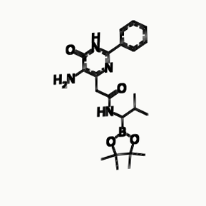 CC(C)C(NC(=O)Cc1nc(-c2ccccc2)[nH]c(=O)c1N)B1OC(C)(C)C(C)(C)O1